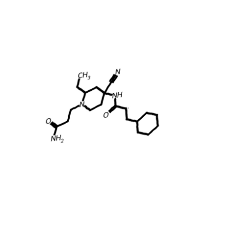 CCC1CC(C#N)(NC(=O)[CH]CC2CCCCC2)CCN1CCC(N)=O